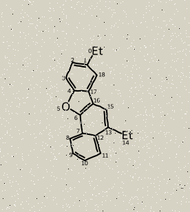 CCc1ccc2oc3c4ccccc4c(CC)cc3c2c1